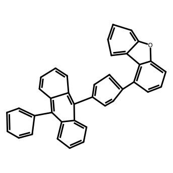 c1ccc(-c2c3ccccc3c(-c3ccc(-c4cccc5oc6ccccc6c45)cc3)c3ccccc23)cc1